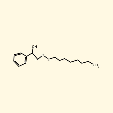 CCCCCCCCSOCC(O)c1ccccc1